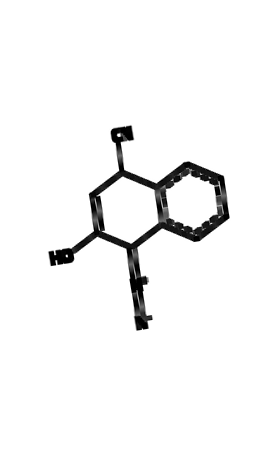 N#CC1C=C(O)C(=[N+]=[N-])c2ccccc21